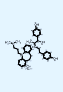 CN(C)CCCN1c2ccccc2CCc2ccccc21.C[C@H](NCCc1ccc(O)cc1)[C@H](O)c1ccc(O)cc1.Cl.Cl